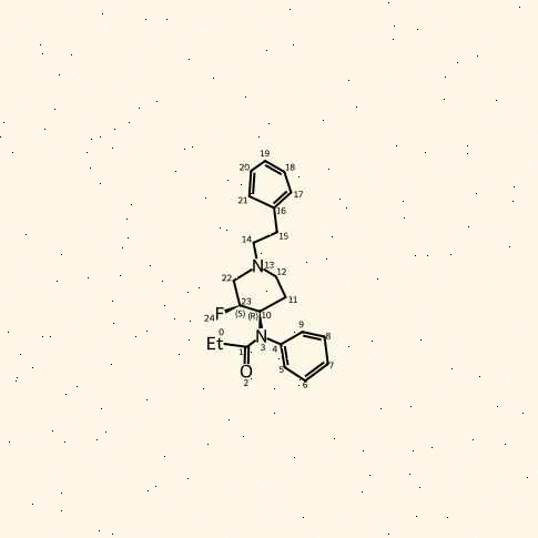 CCC(=O)N(c1ccccc1)[C@@H]1CCN(CCc2ccccc2)C[C@@H]1F